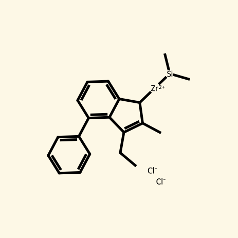 CCC1=C(C)[CH]([Zr+2][Si](C)C)c2cccc(-c3ccccc3)c21.[Cl-].[Cl-]